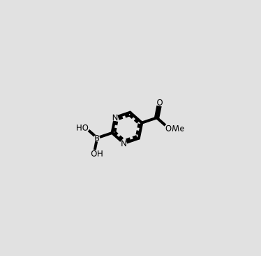 COC(=O)c1cnc(B(O)O)nc1